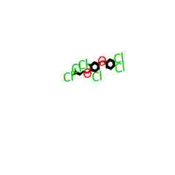 ClC(Cl)=CCOc1c(Cl)cc(Oc2ccc(Cl)c(Cl)c2)cc1Cl